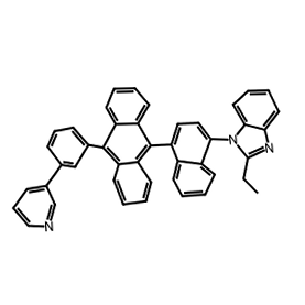 CCc1nc2ccccc2n1-c1ccc(-c2c3ccccc3c(-c3cccc(-c4cccnc4)c3)c3ccccc23)c2ccccc12